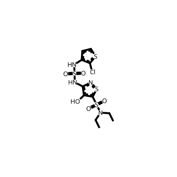 CCN(CC)S(=O)(=O)c1snc(NS(=O)(=O)Nc2ccsc2Cl)c1O